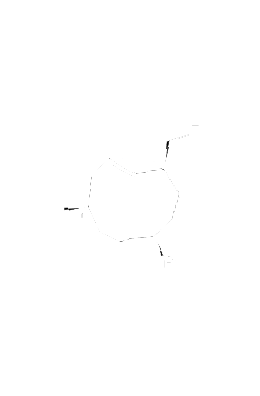 CC(C)[C@H]1CC[C@@H](C)C/C=C/[C@@H](CF)CC1